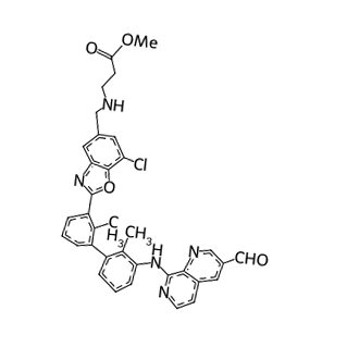 COC(=O)CCNCc1cc(Cl)c2oc(-c3cccc(-c4cccc(Nc5nccc6cc(C=O)cnc56)c4C)c3C)nc2c1